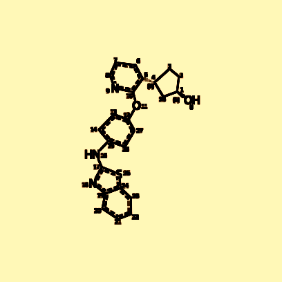 O[C@@H]1CC[C@@H](c2cccnc2Oc2ccc(Nc3nc4ccccc4s3)cc2)C1